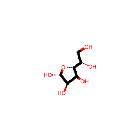 OC[C@H](O)[C@H]1O[C@@H](O)[C@H](O)C1O